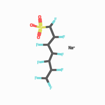 O=S(=O)([O-])C(F)C(F)C(F)C(F)C(F)C(F)C(F)F.[Na+]